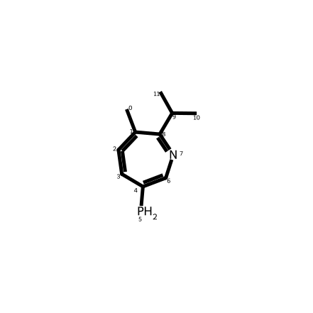 CC1=C=CC(P)=CN=C1C(C)C